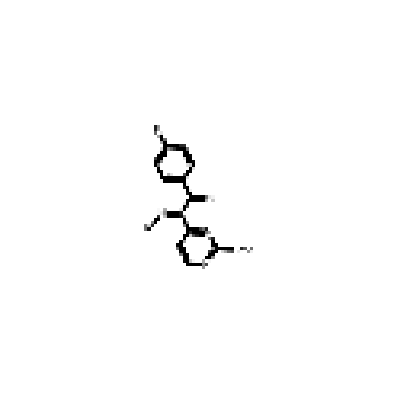 CSc1nccc(/C(=N\O)C(=O)c2ccc(F)cc2)n1